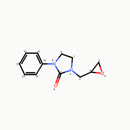 O=C1N(CC2CO2)CCN1c1ccccc1